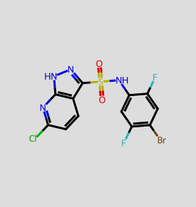 O=S(=O)(Nc1cc(F)c(Br)cc1F)c1n[nH]c2nc(Cl)ccc12